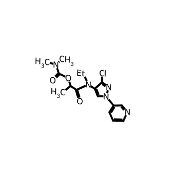 CCN(C(=O)C(C)OC(=O)N(C)C)c1cn(-c2cccnc2)nc1Cl